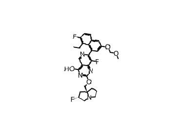 CCc1c(F)ccc2cc(OCOC)cc(-c3ncc4c(O)nc(OC[C@@]56CCCN5C[C@H](F)C6)nc4c3F)c12